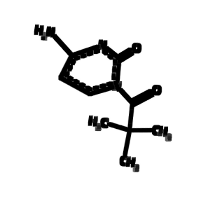 CC(C)(C)C(=O)n1ccc(N)nc1=O